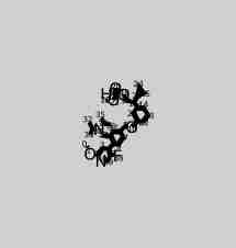 COc1cc(-c2ccc(COc3cccc(C(CO[PH](=O)OC)C4CC4)c3)cc2CN(C(C)C)C(C)C)c(F)cn1